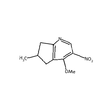 COc1c([N+](=O)[O-])cnc2c1CC(C)C2